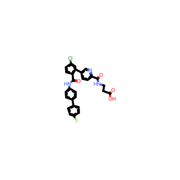 O=C(O)CCNC(=O)c1ccc(-c2cc(Cl)ccc2C(=O)Nc2ccc(-c3ccc(F)cc3)cc2)cn1